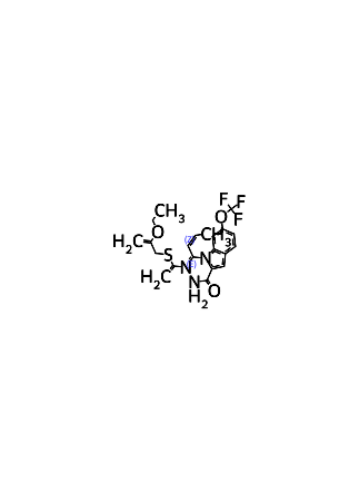 C=C(CSC(=C)/N=C(\C=C/C)n1c(C(N)=O)cc2ccc(OC(F)(F)F)cc21)OCC